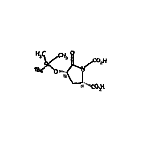 CC(C)(C)[Si](C)(C)O[C@H]1C[C@@H](C(=O)O)N(C(=O)O)C1=O